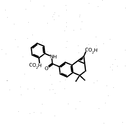 CC1(C)CC2C(C(=O)O)=C2c2cc(C(=O)Nc3ccccc3C(=O)O)ccc21